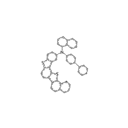 c1ccc(-c2ccc(N(c3ccc4sc5ccc6c7ccc8ccccc8c7sc6c5c4c3)c3cccc4ccccc34)cc2)cc1